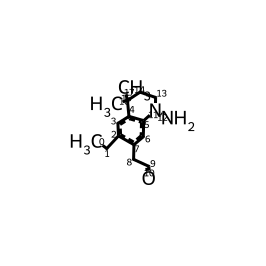 CCc1cc2c(cc1CC=O)N(N)CCC2(C)C